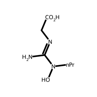 CCCN(O)C(N)=NCC(=O)O